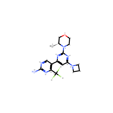 C[C@@H]1COCCN1c1nc(-c2cnc(N)nc2C(F)(F)F)cc(N2CCC2)n1